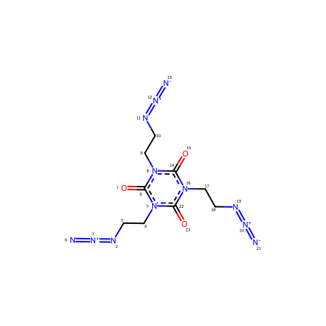 [N-]=[N+]=NCCn1c(=O)n(CCN=[N+]=[N-])c(=O)n(CCN=[N+]=[N-])c1=O